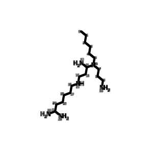 CCCCCCN(CCCN)C(N)CCNCCCCCC(N)N